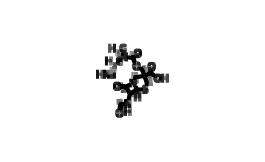 CN(C)C(=O)OCC1(C(=O)O)CS[C@@H]2C(NC=O)C(=O)N2C1.[NaH]